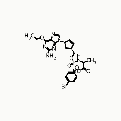 CCOc1nc(N)nc2c1ncn2[C@H]1C=C[C@@H](COP(=O)(NC(C)C(=O)O)Oc2ccc(Br)cc2)C1